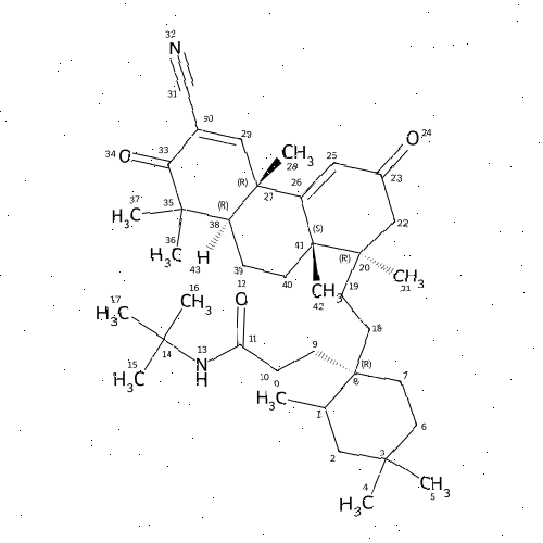 CC1CC(C)(C)CC[C@]1(CCC(=O)NC(C)(C)C)CC[C@]1(C)CC(=O)C=C2[C@@]3(C)C=C(C#N)C(=O)C(C)(C)[C@@H]3CC[C@]21C